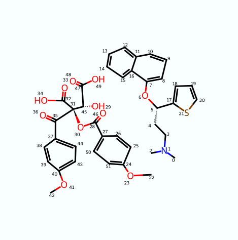 CN(C)CC[C@H](Oc1cccc2ccccc12)c1cccs1.COc1ccc(C(=O)O[C@](C(=O)O)(C(=O)c2ccc(OC)cc2)[C@@H](O)C(=O)O)cc1